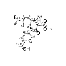 COC(=O)c1c(N)c2ccc(C(F)F)cc2n(-c2ccc(C(C)O)cc2)c1=O